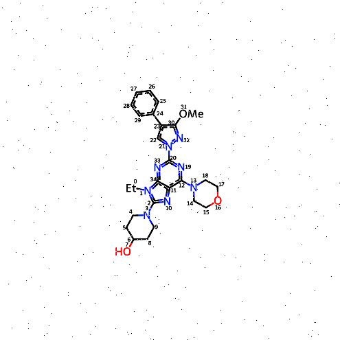 CCn1c(N2CCC(O)CC2)nc2c(N3CCOCC3)nc(-n3cc(-c4ccccc4)c(OC)n3)nc21